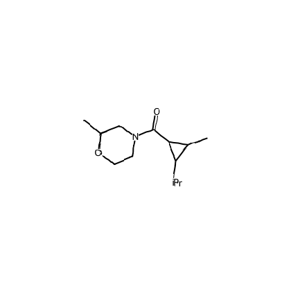 CC1CN(C(=O)C2C(C)C2C(C)C)CCO1